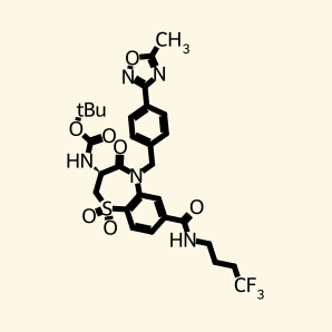 Cc1nc(-c2ccc(CN3C(=O)[C@@H](NC(=O)OC(C)(C)C)CS(=O)(=O)c4ccc(C(=O)NCCCC(F)(F)F)cc43)cc2)no1